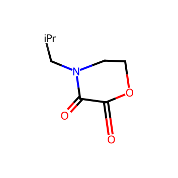 CC(C)CN1CCOC(=O)C1=O